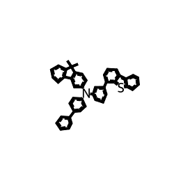 CC1(C)c2ccccc2-c2cc(N(c3ccc(-c4ccccc4)cc3)c3cccc(-c4cccc5c4sc4ccccc45)c3)ccc21